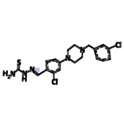 NC(=S)N/N=C/c1ccc(N2CCN(Cc3cccc(Cl)c3)CC2)cc1Cl